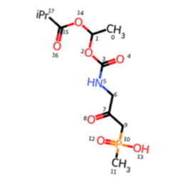 CC(OC(=O)NCC(=O)CP(C)(=O)O)OC(=O)C(C)C